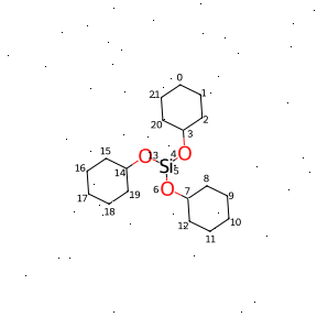 C1CCC(O[Si](OC2CCCCC2)OC2CCCCC2)CC1